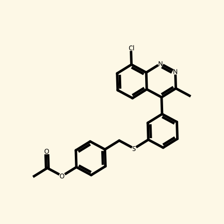 CC(=O)Oc1ccc(CSc2cccc(-c3c(C)nnc4c(Cl)cccc34)c2)cc1